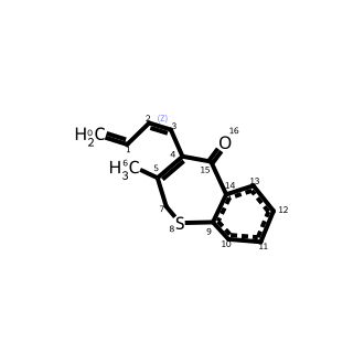 C=C/C=C\C1=C(C)CSc2ccccc2C1=O